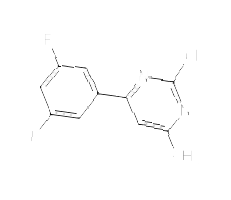 Cc1cc(-c2cc(F)cc(F)c2)nc(Cl)n1